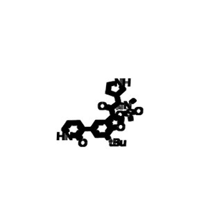 CN([C@H](C(=O)c1coc2c(C(C)(C)C)cc(-c3ccc[nH]c3=O)cc12)C1CCNC1)S(C)(=O)=O